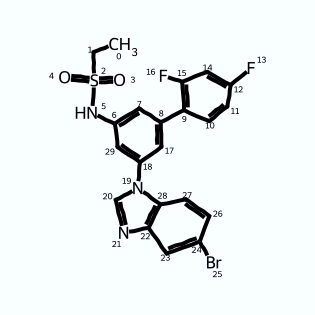 CCS(=O)(=O)Nc1cc(-c2ccc(F)cc2F)cc(-n2cnc3cc(Br)ccc32)c1